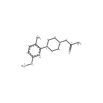 COc1ccc(N)c(N2CCN(CC(N)=O)CC2)n1